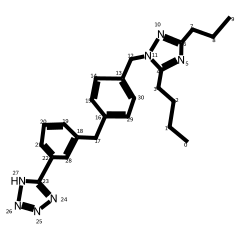 CCCCc1nc(CCC)nn1Cc1ccc(Cc2cccc(-c3nnn[nH]3)c2)cc1